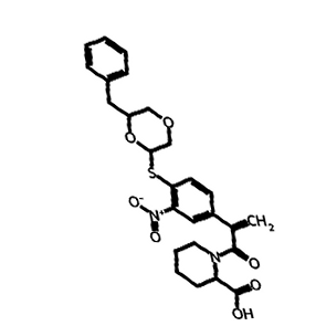 C=C(C(=O)N1CCCCC1C(=O)O)c1ccc(SC2COCC(Cc3ccccc3)O2)c([N+](=O)[O-])c1